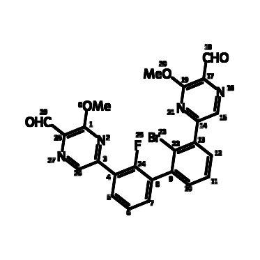 COc1nc(-c2cccc(-c3cccc(-c4cnc(C=O)c(OC)n4)c3Br)c2F)cnc1C=O